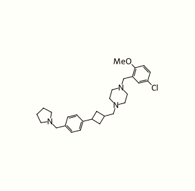 COc1ccc(Cl)cc1CN1CCN(CC2CC(c3ccc(CN4CCCC4)cc3)C2)CC1